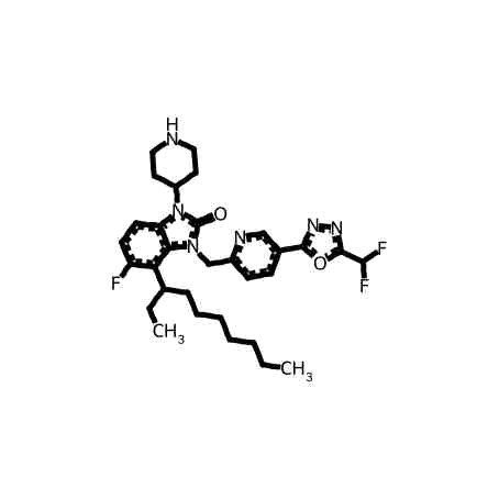 CCCCCCCC(CC)c1c(F)ccc2c1n(Cc1ccc(-c3nnc(C(F)F)o3)cn1)c(=O)n2C1CCNCC1